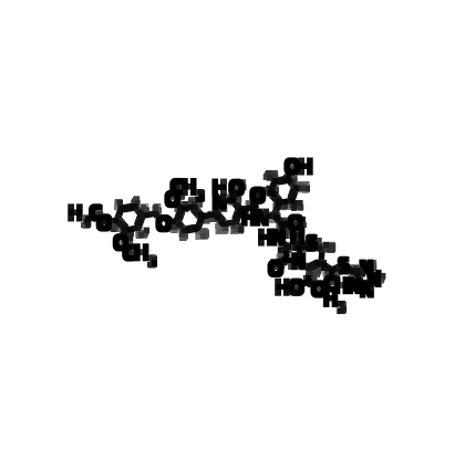 COc1ccc(COc2ccc(-c3ccc(C(=O)NC(C(=O)NC4C(=O)N5C(C(=O)O)=C(C(C)Sc6nnn[nH]6)CS[C@@H]45)c4ccc(O)cc4)c(=O)[nH]3)cc2OC)cc1OC